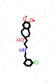 COc1cc2c(cc1OC)CCC(O)(CCCNCCc1cccc(Cl)c1)CC2